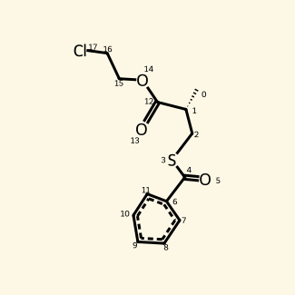 C[C@H](CSC(=O)c1ccccc1)C(=O)OCCCl